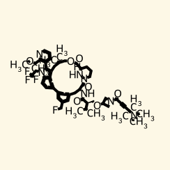 CO[C@@H](C)c1ncccc1-c1c2c3cc(ccc3n1CC(F)(F)F)-c1cc(CF)cc(c1)C[C@H](NC(=O)[C@@H](COC1CN(C(=O)C#CC(C)(C)N(C)C)C1)C(C)C)C(=O)N1CCC[C@H](N1)C(=O)OCC(C)(C)C2